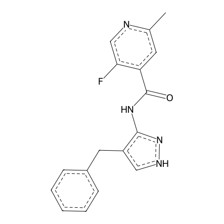 Cc1cc(C(=O)Nc2n[nH]cc2Cc2ccccc2)c(F)cn1